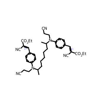 CCOC(=O)/C(C#N)=C/c1ccc(N(CCC#N)C(C)CCCCCC(C)N(CCC#N)c2ccc(/C=C(\C#N)C(=O)OCC)cc2)cc1